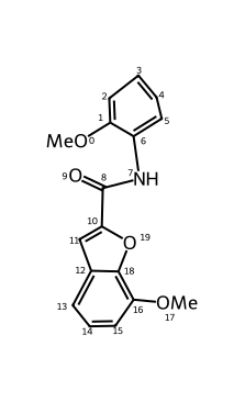 COc1ccccc1NC(=O)c1cc2cccc(OC)c2o1